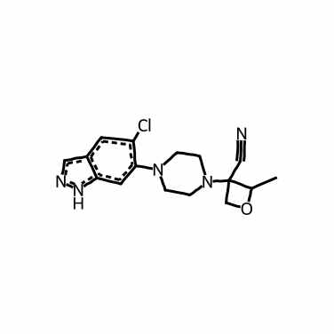 CC1OCC1(C#N)N1CCN(c2cc3[nH]ncc3cc2Cl)CC1